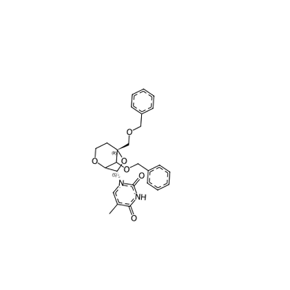 Cc1cn([C@H]2O[C@@]3(COCc4ccccc4)CCOC2C3OCc2ccccc2)c(=O)[nH]c1=O